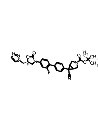 CC(C)(C)OC(=O)N1CC2C(C1)C2(C#N)c1ccc(-c2ccc(N3C[C@H](Cn4ccnn4)OC3=O)cc2F)cc1